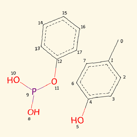 Cc1ccc(O)cc1.OP(O)Oc1ccccc1